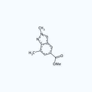 COC(=O)c1cc(C)c2nn(C)cc2c1